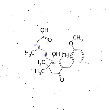 COc1cccc(CC2=C(C)[C@](O)(/C=C/C(C)=C\C(=O)O)C(C)(C)CC2=O)c1